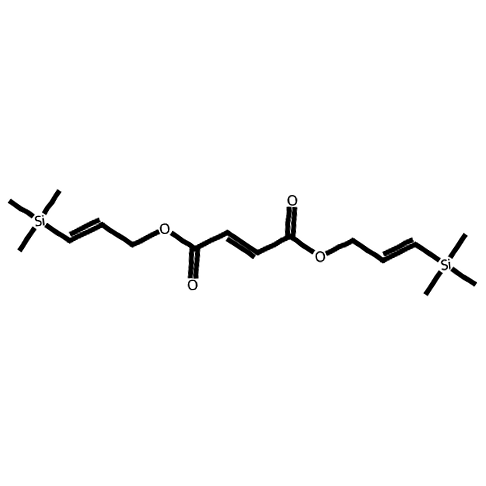 C[Si](C)(C)C=CCOC(=O)/C=C/C(=O)OCC=C[Si](C)(C)C